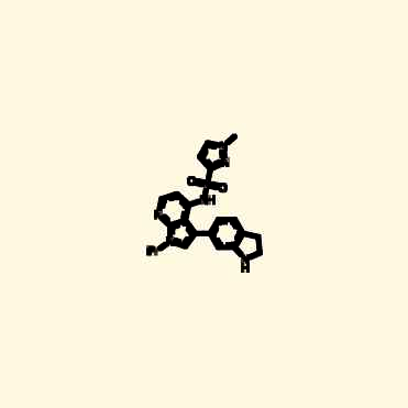 CC(C)n1cc(-c2ccc3c(c2)NCC3)c2c(NS(=O)(=O)c3ccn(C)n3)ccnc21